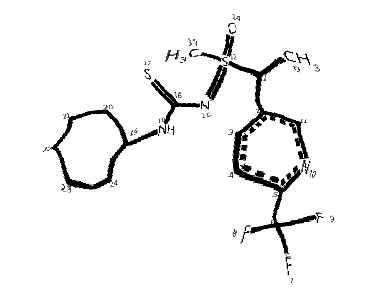 CC(c1ccc(C(F)(F)F)nc1)S(C)(=O)=NC(=S)NC1CCCCC1